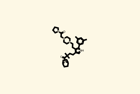 Cc1cc(C)cc(-c2[nH]cc(CCC(C)(C)C(=O)N3C4CCC3CC4)c2CCN2CCN(CC(=O)N3CCCC3)CC2)c1